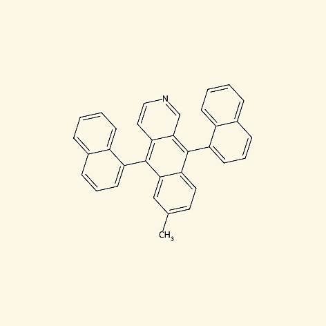 Cc1ccc2c(-c3cccc4ccccc34)c3cnccc3c(-c3cccc4ccccc34)c2c1